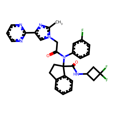 Cc1nc(-c2ncccn2)cn1CC(=O)N(c1cccc(F)c1)C1(C(=O)NC2CC(F)(F)C2)CCc2ccccc21